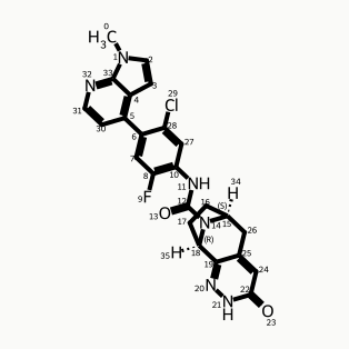 Cn1ccc2c(-c3cc(F)c(NC(=O)N4[C@H]5CC[C@@H]4c4n[nH]c(=O)cc4C5)cc3Cl)ccnc21